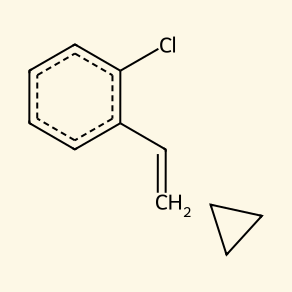 C1CC1.C=Cc1ccccc1Cl